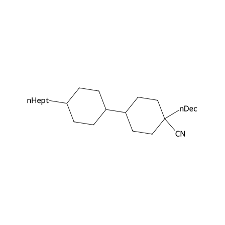 CCCCCCCCCCC1(C#N)CCC(C2CCC(CCCCCCC)CC2)CC1